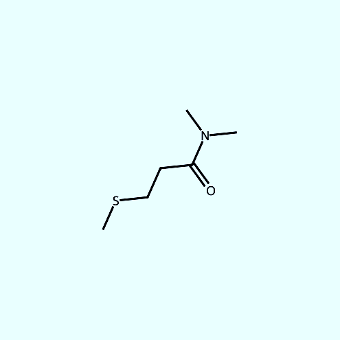 CSCCC(=O)N(C)C